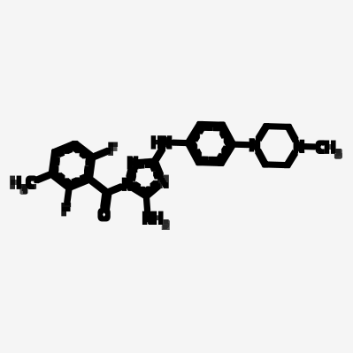 Cc1ccc(F)c(C(=O)n2nc(Nc3ccc(N4CCN(C)CC4)cc3)nc2N)c1F